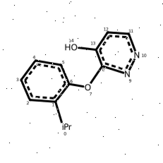 CC(C)c1ccccc1Oc1nnccc1O